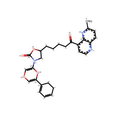 COc1ccc2nccc(C(=O)CCCCC3CN(C4=COC=C(C5=CC=CCC5)O4)C(=O)O3)c2n1